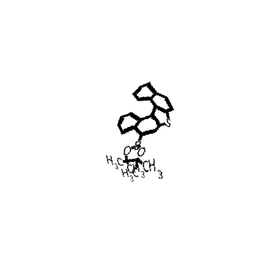 CC1(C)OB(c2cc3sc4ccc5ccccc5c4c3c3ccccc23)OC1(C)C